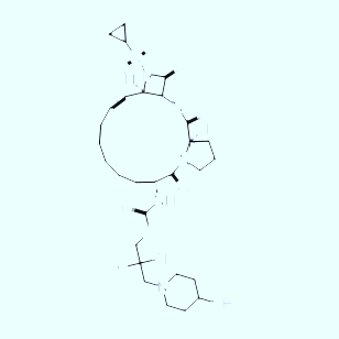 CC1CCN(CC(C)(C)COC(=O)N[C@H]2CCCCC/C=C\[C@H]3C(NC(=O)[C@@H]4CCCN4C2=O)C(=O)N3S(=O)(=O)C2CC2)CC1